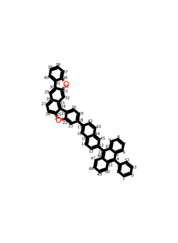 c1ccc(-c2c3ccccc3c(-c3ccc4cc(-c5ccc6c(c5)oc5ccc7cc8c(cc7c56)oc5ccccc58)ccc4c3)c3ccccc23)cc1